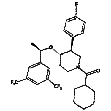 C[C@@H](O[C@H]1CCN(C(=O)C2CCCCC2)C[C@@H]1c1ccc(F)cc1)c1cc(C(F)(F)F)cc(C(F)(F)F)c1